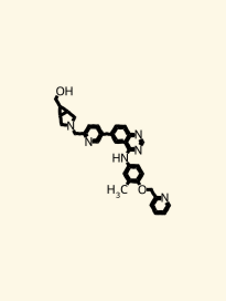 Cc1cc(Nc2ncnc3ccc(-c4ccc(CN5CC6C(CO)C6C5)nc4)cc23)ccc1OCc1ccccn1